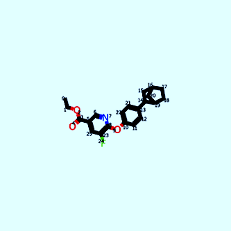 CCOC(=O)c1cnc(Oc2ccc(C3CC4CCC3C4)cc2)c(F)c1